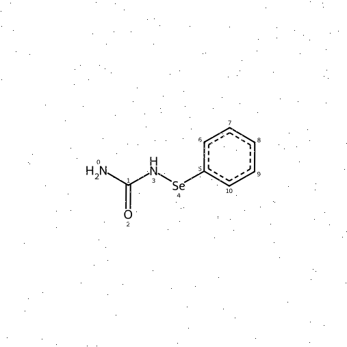 NC(=O)N[Se]c1ccccc1